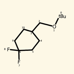 CC(C)(C)OCC1CCC(F)(F)CC1